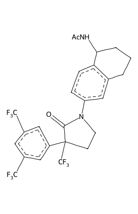 CC(=O)NC1CCCc2cc(N3CCC(c4cc(C(F)(F)F)cc(C(F)(F)F)c4)(C(F)(F)F)C3=O)ccc21